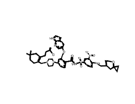 C=C(Cl)CCC1=C(CN2CCN(c3ccc(C(=O)NS(=O)(=O)c4ccc(NCC5COC6(CC6)C5)c([N+](=O)[O-])c4)c(Oc4cnc5[nH]ccc5c4)c3)CC2)CCC(C)(C)C1